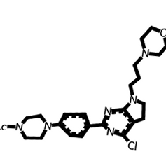 CC(=O)N1CCN(c2ccc(-c3nc(Cl)c4c(n3)N(CCCN3CCOCC3)CC4)cc2)CC1